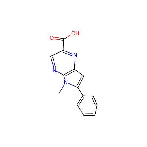 Cn1c(-c2ccccc2)cc2nc(C(=O)O)cnc21